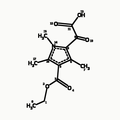 CCOC(=O)c1c(C)c(C(=O)C(=O)O)n(C)c1C